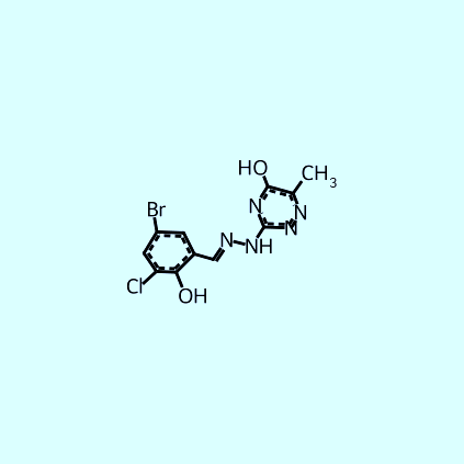 Cc1nnc(N/N=C/c2cc(Br)cc(Cl)c2O)nc1O